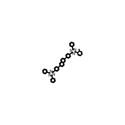 CC1C=CC=CC1c1nc(-c2ccccc2)nc(-c2ccc(-c3ccc4cc(-c5ccc(-c6nc(-c7ccccc7)nc(-c7ccccc7)n6)cc5)ccc4c3)cc2)n1